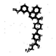 CCOc1cccc(-c2ccc(C(=O)N3CCN(c4ccc(C(=O)NCC(F)(F)F)nn4)CC3)c3ccccc23)c1